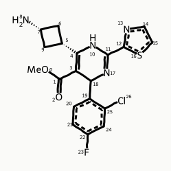 COC(=O)C1=C([C@H]2C[C@@H](N)C2)NC(c2nccs2)=NC1c1ccc(F)cc1Cl